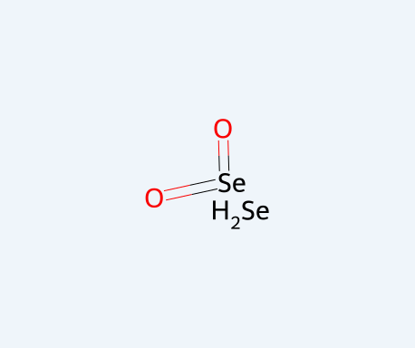 O=[Se]=O.[SeH2]